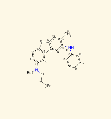 CCN(CCC(C)C)c1ccc2c(c1)-c1cc(Nc3ccccc3)c(C)cc1C2